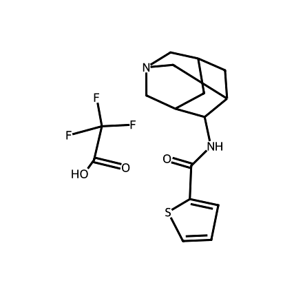 O=C(NC1C2CC3CC1CN(C3)C2)c1cccs1.O=C(O)C(F)(F)F